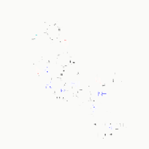 C=CC(=O)Nc1cc(Nc2cc(N3OCCC3c3cc(F)cc(Oc4cccc(F)c4)c3)ncn2)c(OC)cc1N1CCC(N(C)C)CC1